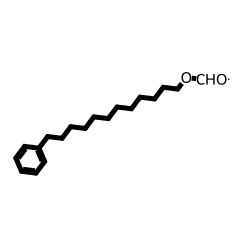 O=[C]OCCCCCCCCCCCCc1ccccc1